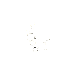 CCOCC(=O)OCOc1c(OC)ccnc1C(=O)N[C@H]1CCC[C@H](CCC(C)C)[C@@H](OCCCC(F)(F)F)[C@H](C)OC1=O